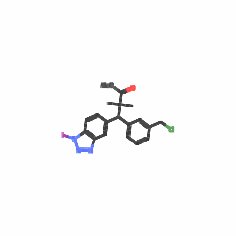 COC(=O)C(C)(C)C(c1cccc(CCl)c1)c1ccc2c(c1)nnn2I